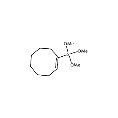 CO[Si](OC)(OC)/C1=C/CCCCCC1